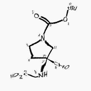 CC(C)(C)OC(=O)N1CC[C@@](C=O)(NC(=O)O)C1